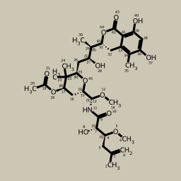 C=C(C)C[C@H](OC)[C@H](O)C(=O)N[C@@H](OC)[C@@H]1C[C@@H](OC(C)=O)C(C)(C)[C@@H](C[C@H](O)[C@@H](C)[C@H]2Cc3c(C)c(O)cc(O)c3C(=O)O2)O1